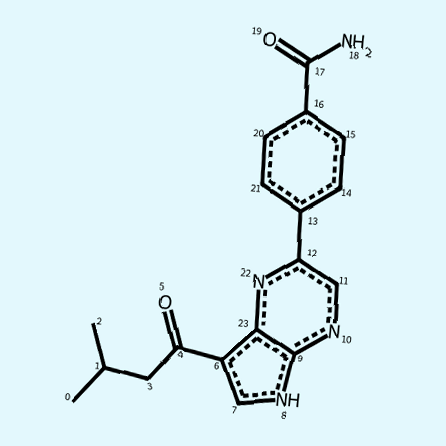 CC(C)CC(=O)c1c[nH]c2ncc(-c3ccc(C(N)=O)cc3)nc12